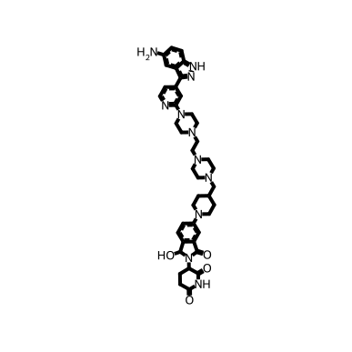 Nc1ccc2[nH]nc(-c3ccnc(N4CCN(CCN5CCN(CC6CCN(c7ccc8c(c7)C(=O)N(C7CCC(=O)NC7=O)C8O)CC6)CC5)CC4)c3)c2c1